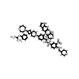 CC(C)Oc1ccccc1[C@@H]1COCCCN1C1CC2(CCN(c3ccc(C(=O)NS(=O)(=O)c4ccc(NCC5CCOCC5)c([N+](=O)[O-])c4)c(N4c5cc6cc[nH]c6nc5O[C@H]5COCC[C@@H]54)c3)CC2)C1